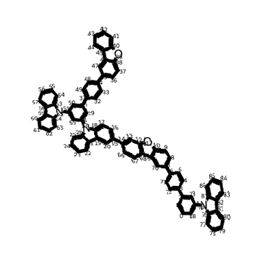 c1cc(-c2ccc(-c3ccc4oc5cc(-c6ccc7c(c6)c6ccccc6n7-c6cc(-c7ccc(-c8ccc9oc%10ccccc%10c9c8)cc7)cc(-n7c8ccccc8c8ccccc87)c6)ccc5c4c3)cc2)cc(-n2c3ccccc3c3ccccc32)c1